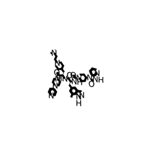 Cc1cc(C[C@@H](NC(=O)N2CCC(n3c(=O)[nH]c4ncccc43)CC2)C(=O)N[C@@H](CC2CCN(CCN(C)C)CC2)C(=O)N2CCN(c3ccncc3)CC2)cc2cn[nH]c12